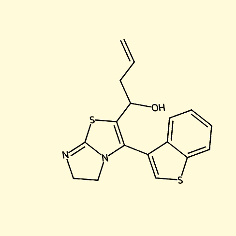 C=CCC(O)C1=C(c2csc3ccccc23)N2CCN=C2S1